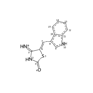 N=C1NC(=O)SC1=Cc1c[nH]c2ccccc12